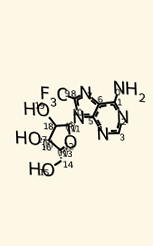 Nc1ncnc2c1nc(C(F)(F)F)n2[C@@H]1O[C@H](CO)[C@H](O)C1O